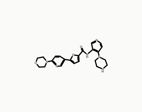 O=C(Nc1cnccc1N1CCNCC1)c1ccc(-c2ccc(N3CCOCC3)nc2)o1